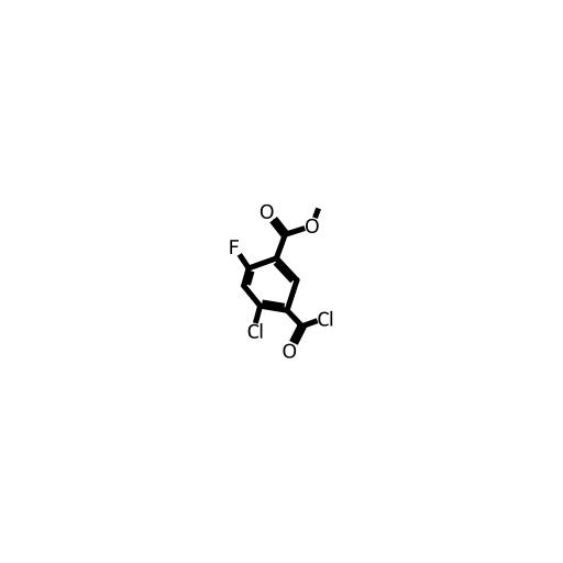 COC(=O)c1cc(C(=O)Cl)c(Cl)cc1F